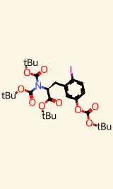 CC(C)(C)OC(=O)Oc1ccc(I)c(C[C@@H](C(=O)OC(C)(C)C)N(C(=O)OC(C)(C)C)C(=O)OC(C)(C)C)c1